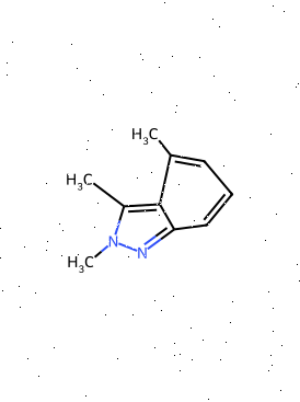 Cc1cccc2nn(C)c(C)c12